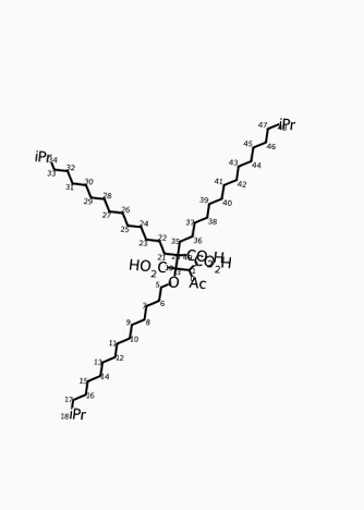 CC(=O)C(C(=O)O)C(OCCCCCCCCCCCCCC(C)C)(C(=O)O)C(CCCCCCCCCCCCCC(C)C)(CCCCCCCCCCCCCC(C)C)C(=O)O